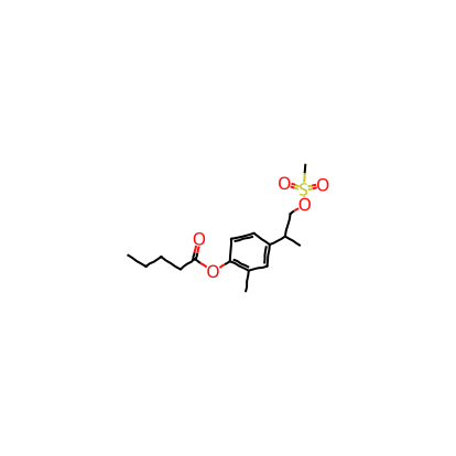 CCCCC(=O)Oc1ccc(C(C)COS(C)(=O)=O)cc1C